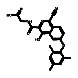 Cc1cc(C)c(Oc2ccc3c(C#N)nc(C(=O)NCC(=O)O)c(O)c3c2)c(C)c1